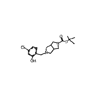 CC(C)(C)OC(=O)N1CC2CN(Cc3ccc(Cl)cc3O)CC2C1